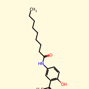 CCCCCCCCC(=O)Nc1ccc(O)c(C(C)=O)c1